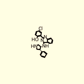 Oc1ccc(Cl)cc1-c1nc(N[C@H]2CNC[C@@H]2c2ccccc2)c2ccccc2n1